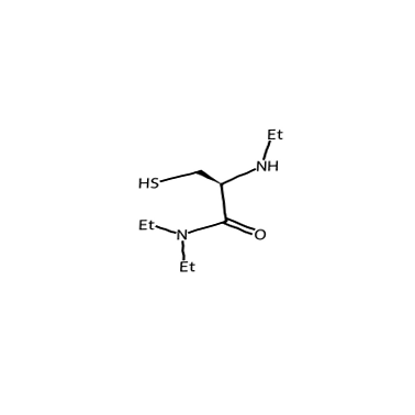 CCN[C@H](CS)C(=O)N(CC)CC